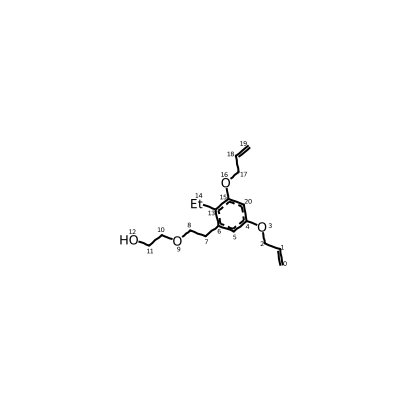 C=CCOc1cc(CCOCCO)c(CC)c(OCC=C)c1